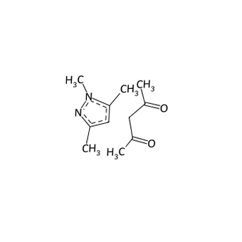 CC(=O)CC(C)=O.Cc1cc(C)n(C)n1